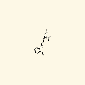 C=Cc1ccccc1OCCCN(CCC)C(C)C